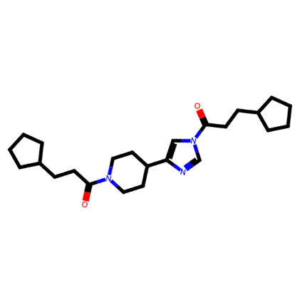 O=C(CCC1CCCC1)N1CCC(c2cn(C(=O)CCC3CCCC3)cn2)CC1